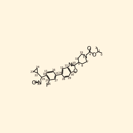 CC(C)OC(=O)N1CCC(c2nc3cc(-c4ccc(C(N=O)C5CC5)c(F)c4)ccc3o2)CC1